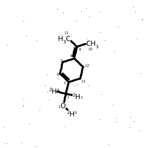 [2H]OC([2H])([2H])C1=CCC(=C(C)C)CC1